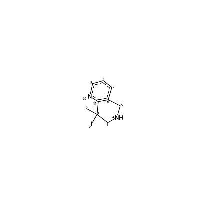 CC1(I)CNCc2cccnc21